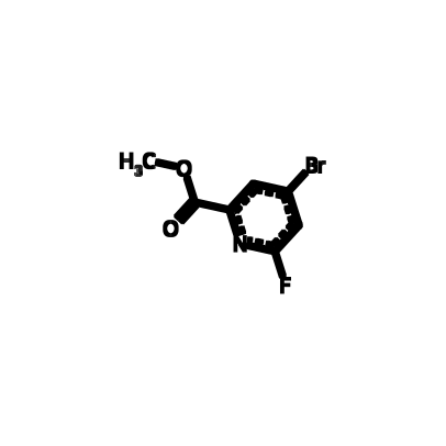 COC(=O)c1cc(Br)cc(F)n1